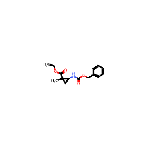 CCOC(=O)C1(C)CC1NC(=O)OCc1ccccc1